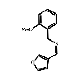 COc1ccccc1C/N=C\c1ccoc1